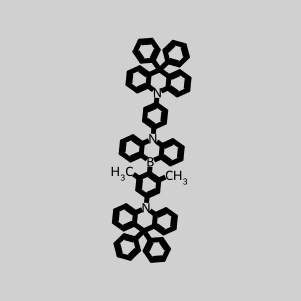 Cc1cc(N2c3ccccc3C(c3ccccc3)(c3ccccc3)c3ccccc32)cc(C)c1B1c2ccccc2N(c2ccc(N3c4ccccc4C(c4ccccc4)(c4ccccc4)c4ccccc43)cc2)c2ccccc21